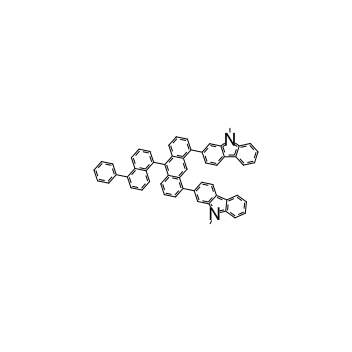 Cn1c2ccccc2c2ccc(-c3cccc4c(-c5cccc6c(-c7ccccc7)cccc56)c5cccc(-c6ccc7c8ccccc8n(C)c7c6)c5cc34)cc21